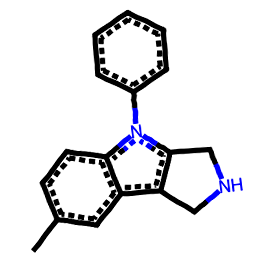 Cc1ccc2c(c1)c1c(n2-c2ccccc2)CNC1